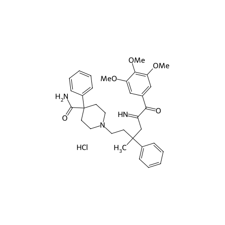 COc1cc(C(=O)C(=N)CC(C)(CCN2CCC(C(N)=O)(c3ccccc3)CC2)c2ccccc2)cc(OC)c1OC.Cl